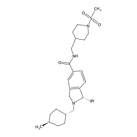 CC(C)[C@H]1c2ccc(C(=O)NCC3CCN(S(C)(=O)=O)CC3)cc2CN1C[C@H]1CC[C@H](C)CC1